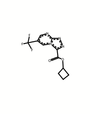 O=C(OC1CCC1)c1nnc2ncc(C(F)(F)F)cn12